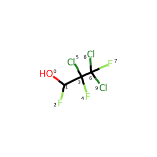 OC(F)C(F)(Cl)C(F)(Cl)Cl